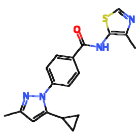 Cc1cc(C2CC2)n(-c2ccc(C(=O)Nc3scnc3C)cc2)n1